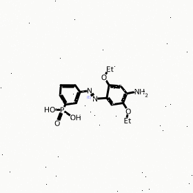 CCOc1cc(/N=N/c2cccc(P(=O)(O)O)c2)c(OCC)cc1N